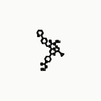 CC(C)(C)OC(=O)N1CCC(c2cc(N(Cc3ccc(-c4ccccn4)cc3)C(=O)OC(C)(C)C)n3ncc(C4CC4)c3n2)CC1